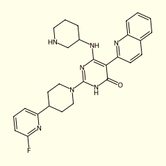 O=c1[nH]c(N2CCC(c3cccc(F)n3)CC2)nc(NC2CCCNC2)c1-c1ccc2ccccc2n1